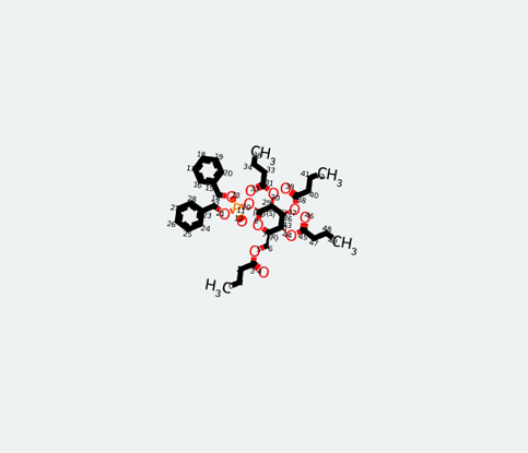 CCCC(=O)OC[C@H]1O[C@H](OP(=O)(OCc2ccccc2)OCc2ccccc2)[C@@H](OC(=O)CCC)[C@@H](OC(=O)CCC)[C@@H]1OC(=O)CCC